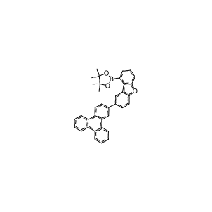 CC1(C)OB(c2cccc3oc4ccc(-c5ccc6c7ccccc7c7ccccc7c6c5)cc4c23)OC1(C)C